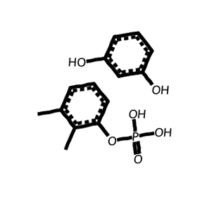 Cc1cccc(OP(=O)(O)O)c1C.Oc1cccc(O)c1